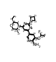 CC[C@H]1CN(c2cc(-c3cnc(N)c(OC(F)F)c3)nc(N3CCC3)n2)[C@@H](C)CO1